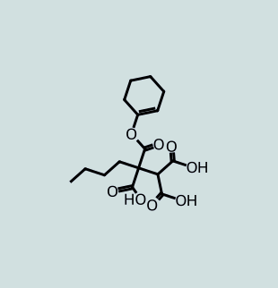 CCCCC(C(=O)O)(C(=O)OC1=CCCCC1)C(C(=O)O)C(=O)O